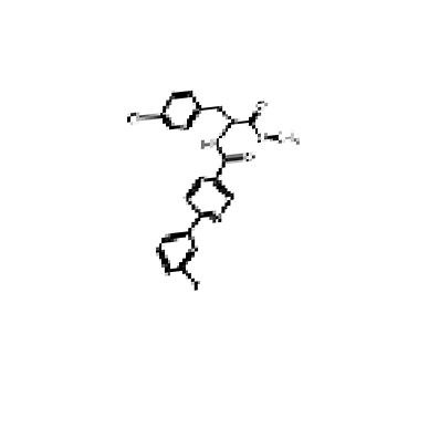 COC(=O)[C@H](Cc1ccc(Cl)cc1)NC(=O)c1ccc(-c2cccc(F)c2)nc1